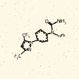 CCCN(C(N)=O)c1ccc(-n2nc(C(F)(F)F)cc2C(F)(F)F)cc1